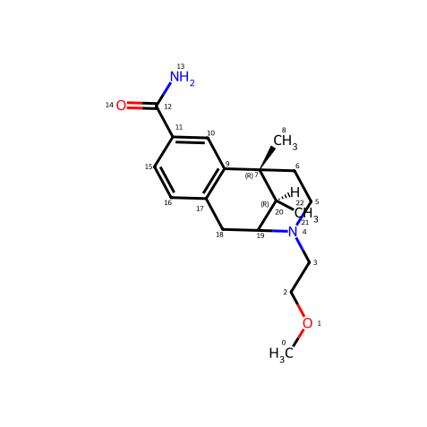 COCCN1CC[C@@]2(C)c3cc(C(N)=O)ccc3CC1[C@@H]2C